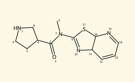 CN(C(=O)C1CCNC1)C1=NC2C=CC=NC2S1